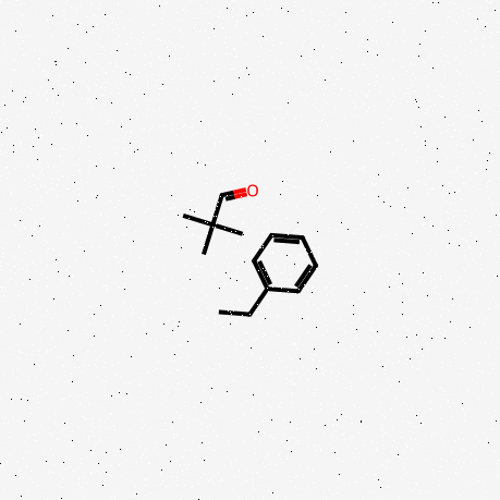 CC(C)(C)C=O.CCc1ccccc1